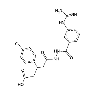 N=C(N)Nc1cccc(C(=O)NNC(=O)CC(CC(=O)O)c2ccc(Cl)cc2)c1